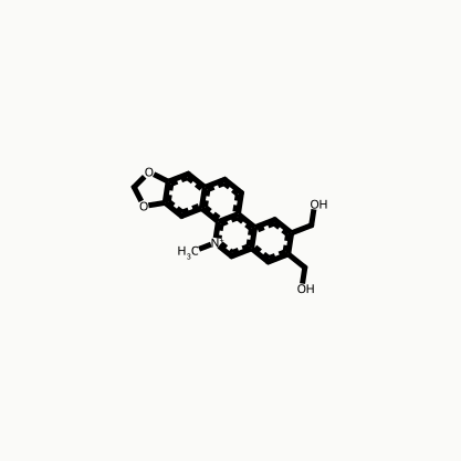 C[n+]1cc2cc(CO)c(CO)cc2c2ccc3cc4c(cc3c21)OCO4